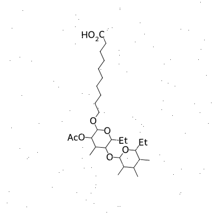 CCC1OC(OC2C(CC)OC(OCCCCCCCCCC(=O)O)C(OC(C)=O)C2C)C(C)C(C)C1C